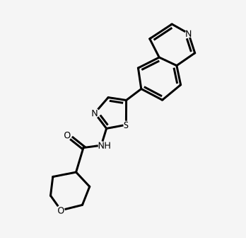 O=C(Nc1ncc(-c2ccc3cnccc3c2)s1)C1CCOCC1